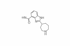 [NH]C(=O)c1cccc2[nH]c(C3CCCNCC3)nc12